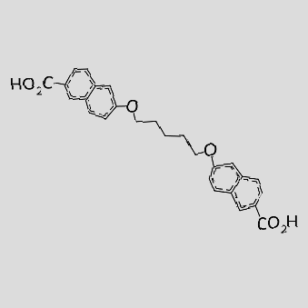 O=C(O)c1ccc2cc(OCCCCCOc3ccc4cc(C(=O)O)ccc4c3)ccc2c1